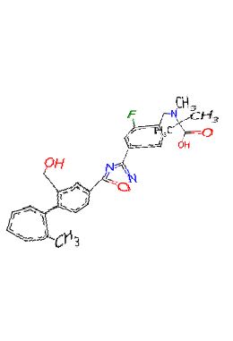 Cc1ccccc1-c1ccc(-c2nc(-c3ccc(CN(C)C(C)(C)C(=O)O)c(F)c3)no2)cc1CO